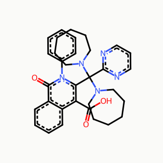 O=C(O)c1c(C(c2ncccn2)(N2CCCCCC2)N2CCCCCC2)n(-c2ccccc2)c(=O)c2ccccc12